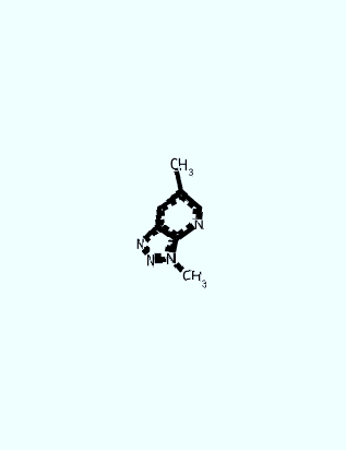 Cc1cnc2c(c1)nnn2C